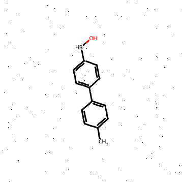 Cc1ccc(-c2ccc(BO)cc2)cc1